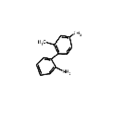 Cc1ccc(-c2ccccc2N)c(C)c1